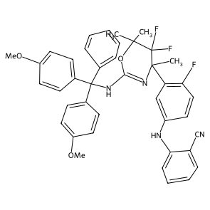 COc1ccc(C(NC2=NC(C)(c3cc(Nc4ccccc4C#N)ccc3F)C(F)(F)C(C)(C)O2)(c2ccccc2)c2ccc(OC)cc2)cc1